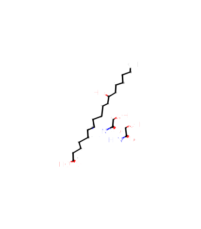 CCCCCCC(O)CCCCCCCCCCC(=O)O.NC(=O)CO.NC(=O)CO